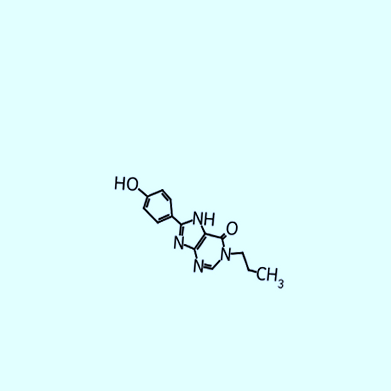 CCCn1cnc2nc(-c3ccc(O)cc3)[nH]c2c1=O